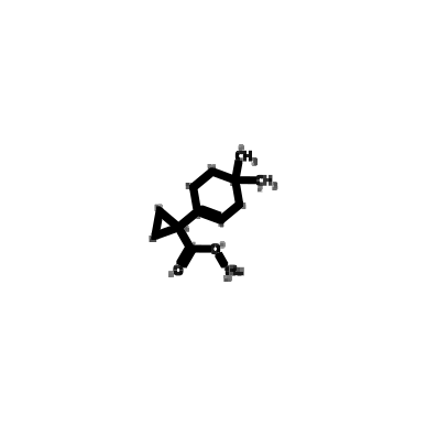 CC1(C)CC=C(C2(C(=O)OC(C)(C)C)CC2)CC1